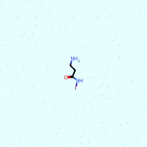 NCCC(=O)NI